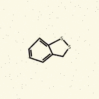 [c]1ccc2c(c1)CSS2